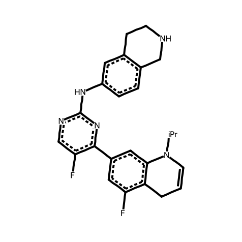 CC(C)N1C=CCc2c(F)cc(-c3nc(Nc4ccc5c(c4)CCNC5)ncc3F)cc21